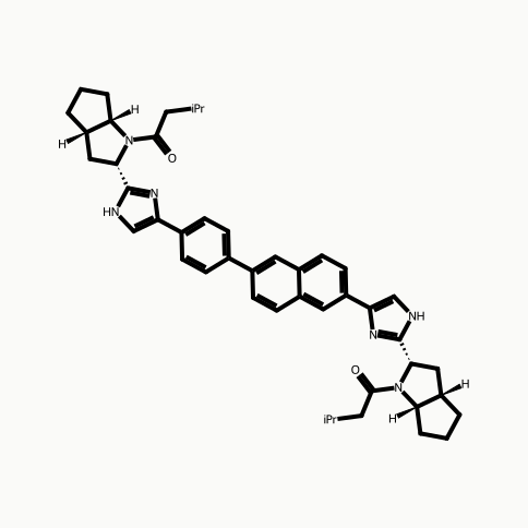 CC(C)CC(=O)N1[C@H](c2nc(-c3ccc(-c4ccc5cc(-c6c[nH]c([C@@H]7C[C@@H]8CCC[C@@H]8N7C(=O)CC(C)C)n6)ccc5c4)cc3)c[nH]2)C[C@@H]2CCC[C@@H]21